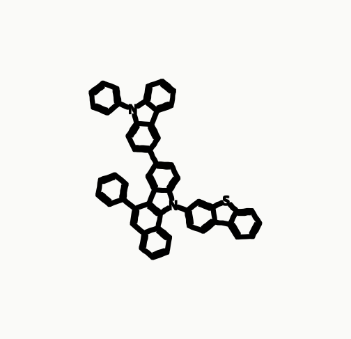 c1ccc(-c2cc3ccccc3c3c2c2cc(-c4ccc5c(c4)c4ccccc4n5-c4ccccc4)ccc2n3-c2ccc3c(c2)sc2ccccc23)cc1